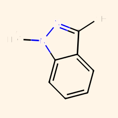 Cc1nn(C)c2c[c]ccc12